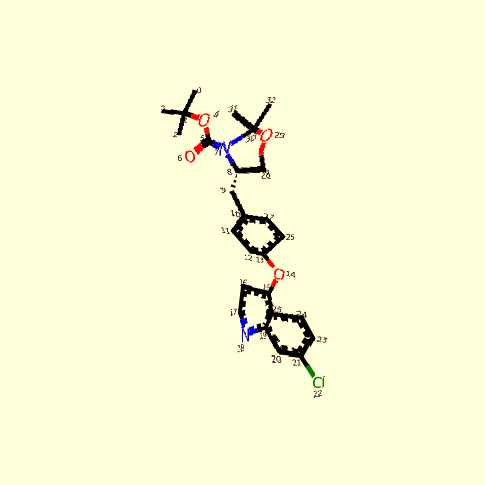 CC(C)(C)OC(=O)N1[C@@H](Cc2ccc(Oc3ccnc4cc(Cl)ccc34)cc2)COC1(C)C